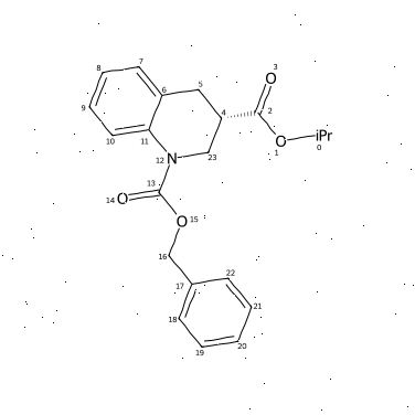 CC(C)OC(=O)[C@H]1Cc2ccccc2N(C(=O)OCc2ccccc2)C1